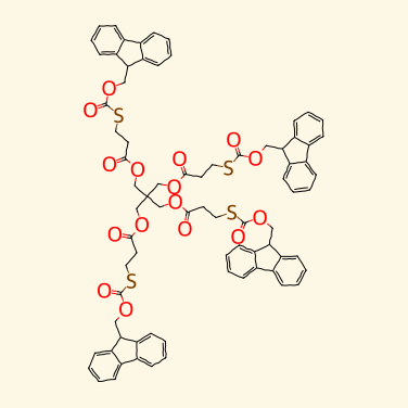 O=C(CCSC(=O)OCC1c2ccccc2-c2ccccc21)OCC(COC(=O)CCSC(=O)OCC1c2ccccc2-c2ccccc21)(COC(=O)CCSC(=O)OCC1c2ccccc2-c2ccccc21)COC(=O)CCSC(=O)OCC1c2ccccc2-c2ccccc21